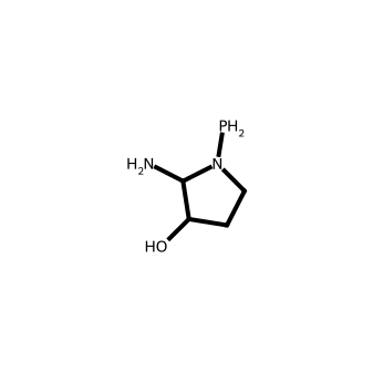 NC1C(O)CCN1P